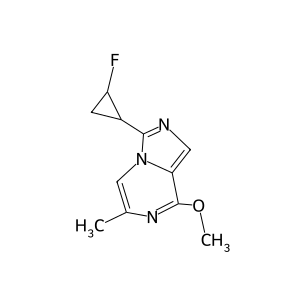 COc1nc(C)cn2c(C3CC3F)ncc12